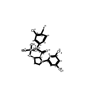 CC(C)(C)[Si](C)(C)O[C@@H]1CCN(c2cc(C(F)(F)F)cc(C(F)(F)F)n2)[C@@H]1C(=O)Nc1ccc(F)c(Cl)c1